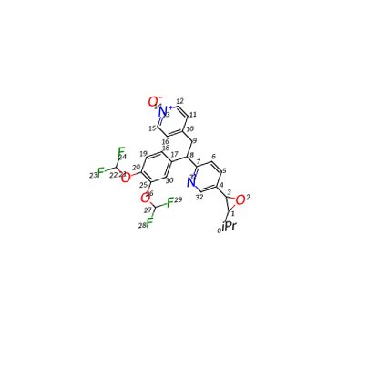 CC(C)C1OC1c1ccc(C(Cc2cc[n+]([O-])cc2)c2ccc(OC(F)F)c(OC(F)F)c2)nc1